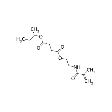 C=C(C)C(=O)NCCOC(=O)CCC(=O)OC(C)CC